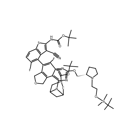 CC(C)(C)OC(=O)Nc1sc2ccc(F)c(-c3c4c(c5c(N6C7CC6CN(C(=O)OC(C)(C)C)C7)nc(OC[C@@H]6CCCN6CCO[Si](C)(C)C(C)(C)C)nc5c3F)COC4)c2c1C#N